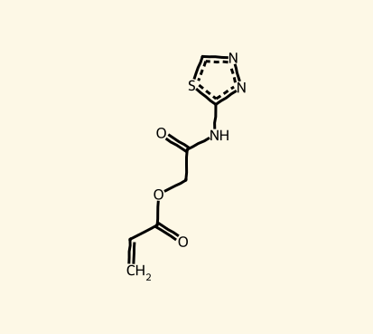 C=CC(=O)OCC(=O)Nc1nncs1